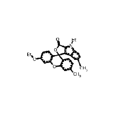 CCOc1ccc2c(c1)Oc1cc(C)ccc1C21OC(=O)c2c1c1cc(C)ccc1n2CC